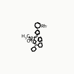 C1=CCCC=CCC1.CNC(=O)N1C[C@H](P(C2CCCCC2)C2CCCCC2)C[C@@H]1CP(c1ccccc1)c1ccccc1.[Rh]